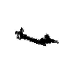 CCc1ccc(-c2cc3cnc(OCCCCCCCCCCCOC(C)(C)CCC(C)C)cc3oc2=O)c(SC(F)(F)F)c1